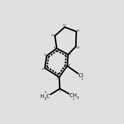 CC(C)c1ccc2c(c1Cl)CCCC2